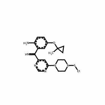 CCSN1CCN(c2cc(C(=N)c3cc(OC4(C)CC4)ccc3N)ncn2)CC1